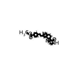 CCOC(=O)c1ccc(C=Cc2cc3c(cn2)CCc2c-3nn3c2C(=O)NCC3)cc1